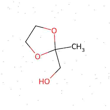 CC1(CO)OCCO1